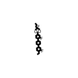 CCCC1(F)COC(c2ccc(-c3ccc(-c4ccc(CC)c(F)c4)cc3)c(F)c2)OC1